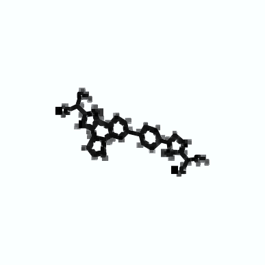 CC(C)c1ncc(-c2ccc(-c3ccc4c(c3)c3sccc3c3nc(C(C)C)[nH]c43)cc2)[nH]1